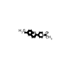 C=Cc1ccc2nc(C3CCN(C(C)=O)CC3)ccc2c1